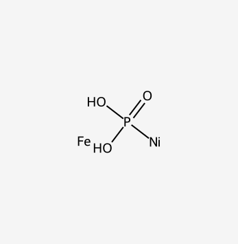 O=[P](O)(O)[Ni].[Fe]